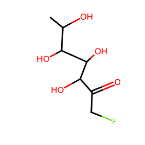 CC(O)C(O)C(O)C(O)C(=O)CF